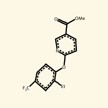 CCc1cc(C(F)(F)F)ccc1Oc1ccc(C(=O)OC)cn1